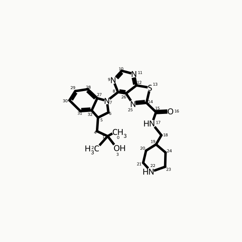 CC(C)(O)CC1CN(c2ncnc3sc(C(=O)NCC4CCNCC4)nc23)c2ccccc21